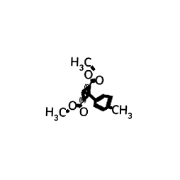 CCOC(=O)[C@@H]1C2[C@@H](C(=O)OCC)C21c1ccc(C)cc1